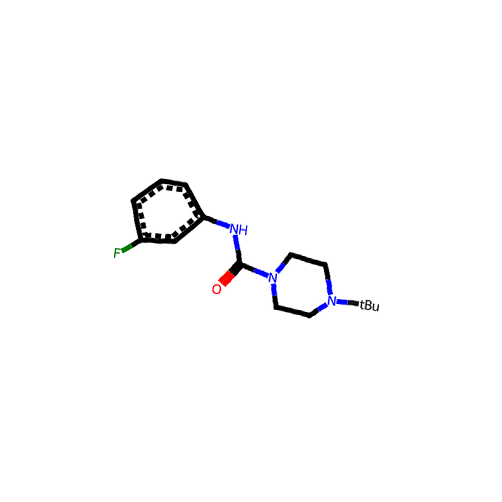 CC(C)(C)N1CCN(C(=O)Nc2cccc(F)c2)CC1